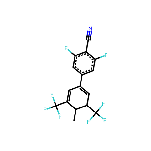 CC1C(C(F)(F)F)=CC(c2cc(F)c(C#N)c(F)c2)=CC1C(F)(F)F